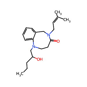 CCCC(O)CN1CCC(=O)N(CC=C(C)C)Cc2ccccc21